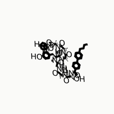 CCCCc1ccc(-c2ccc(C(=O)N[C@H](CO)C(=O)N[C@H](C)C(=O)NCC(=O)N(C)[C@@H](Cc3ccc(O)cc3)C(=O)N[C@@H](C)C(=O)N[C@@H](C)C(=O)N[C@@H](C)B3OC4C[C@@H]5C[C@@H](C5(C)C)[C@]4(C)O3)cc2)cc1